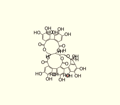 O=C1OC[C@H]2OC(=O)c3cc(O)c(O)c(O)c3-c3c(O)c(O)c(O)c4c3C(=O)O[C@H]([C@H]3OC(=O)c5c-4c(O)c(O)c(O)c5[C@@H]3O)[C@@H]2OC(=O)c2cc(O)c(O)c(O)c2-c2c1cc(O)c(O)c2O